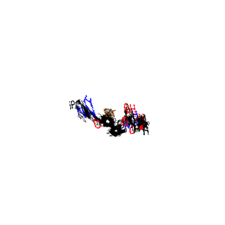 COc1c(CN2O[C@@H](CO)[C@@H]([C@H](C)O)[C@H]2C(=O)N[C@H]2C[C@H]3C[C@@H]([C@@H]2C)C3(C)C)cccc1-c1cc(Br)cc(C(=O)N[C@@H](CC(C)C)CN(C)C)c1